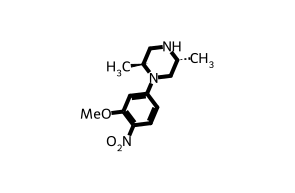 COc1cc(N2C[C@@H](C)NC[C@@H]2C)ccc1[N+](=O)[O-]